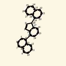 [C]1=Cc2c(-c3cccc4ccccc34)cccc2C1c1cccc2ccccc12